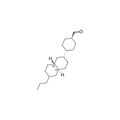 CCCC1CC[C@@H]2CC([C@H]3CC[C@H](C=O)CC3)CC[C@H]2C1